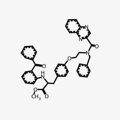 COC(=O)C(Cc1ccc(OCCN(Cc2ccccc2)C(=O)c2cnc3ccccc3n2)cc1)Nc1ccccc1C(=O)c1ccccc1